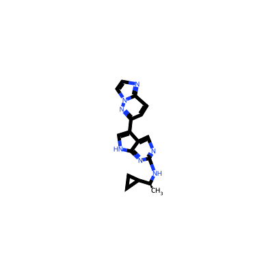 C[C@@H](Nc1ncc2c(-c3ccc4nccn4n3)c[nH]c2n1)C1CC1